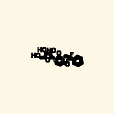 O=c1ccn(C2OC(CO)C(O)C2O)c(=O)n1CC(F)(F)c1ccccc1